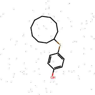 Oc1ccc(SC2CCCCCCCCC2)cc1